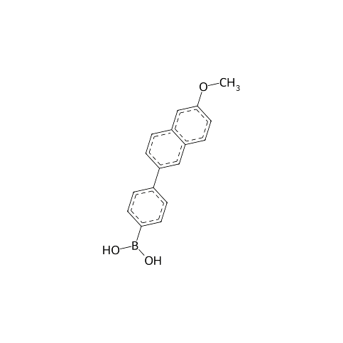 COc1ccc2cc(-c3ccc(B(O)O)cc3)ccc2c1